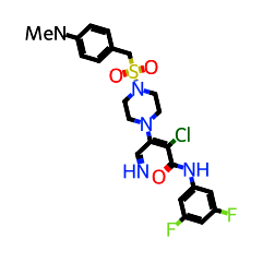 CNc1ccc(CS(=O)(=O)N2CCN(/C(C=N)=C(\Cl)C(=O)Nc3cc(F)cc(F)c3)CC2)cc1